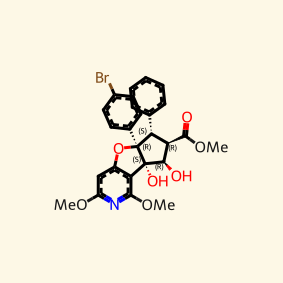 COC(=O)[C@H]1[C@@H](O)[C@@]2(O)c3c(cc(OC)nc3OC)O[C@@]2(c2ccc(Br)cc2)[C@@H]1c1ccccc1